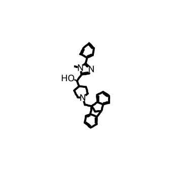 Cn1c([C@H](O)C2CCN(CC34CC(c5ccccc53)c3ccccc34)CC2)cnc1-c1ccccc1